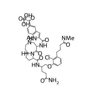 CNC(=O)CCCc1cccc(OCC(CCC(N)=O)NC(=O)C2CC[C@@H]3CCN(C(C)=O)CC(NC(=O)c4cc5cc(C(=O)P(=O)(O)O)ccc5[nH]4)C(=O)N23)c1Cl